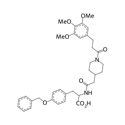 COc1cc(CCC(=O)N2CCC(CC(=O)NC(Cc3ccc(OCc4ccccc4)cc3)C(=O)O)CC2)cc(OC)c1OC